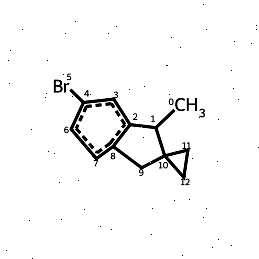 CC1c2cc(Br)ccc2CC12CC2